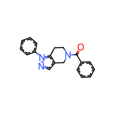 O=C(c1ccccc1)N1CCc2c(cnn2-c2ccccc2)C1